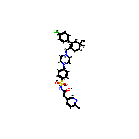 Cc1ccc(CC(=O)NS(=O)(=O)c2ccc(N3CCN(CC4=C(c5ccc(Cl)cc5)CC(C)(C)CC4)CC3)cc2)cn1